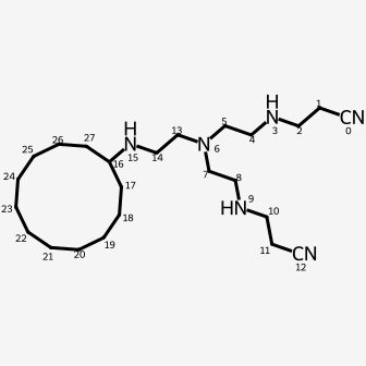 N#CCCNCCN(CCNCCC#N)CCNC1CCCCCCCCCCC1